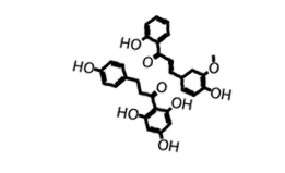 COC1=C(O)C=CC(C=CC(=O)c2ccccc2O)C1.O=C(CCc1ccc(O)cc1)c1c(O)cc(O)cc1O